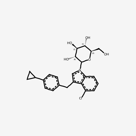 OC[C@H]1OC(n2cc(Cc3ccc(C4CC4)cc3)c3c(Cl)cccc32)[C@H](O)[C@@H](O)[C@@H]1O